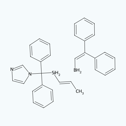 BC=C(c1ccccc1)c1ccccc1.CC=C[SiH2]C(c1ccccc1)(c1ccccc1)n1ccnc1